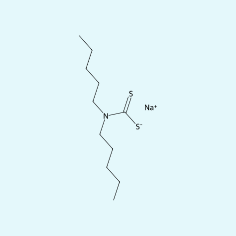 CCCCCN(CCCCC)C(=S)[S-].[Na+]